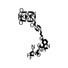 N#C[C@@H]1CC(F)(F)CN1C(=O)CNC(=O)c1ccnc2ccc(OCCCN3CCN(C(=O)CN4CCN5CCN6CCN(CC4)CC(=O)ON(COC(=O)C5)OC(=O)C6)CC3)cc12